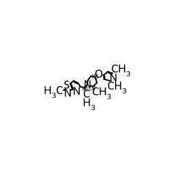 Cc1cc(O[C@H]2CCN([C@H](C)c3ccc4sc(C)nc4n3)[C@@H](C)C2)cc(C)n1